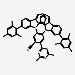 Cc1cc(C)c(-c2ccc3c4ccccc4n(-c4cc(C#N)c(-c5nc(C)nc(C)n5)cc4-n4c5ccccc5c5ccc(-c6c(C)cc(C)cc6C)cc54)c3c2)c(C)c1